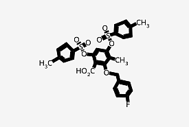 Cc1ccc(S(=O)(=O)Oc2cc(OS(=O)(=O)c3ccc(C)cc3)c(C(=O)O)c(OCc3ccc(F)cc3)c2C)cc1